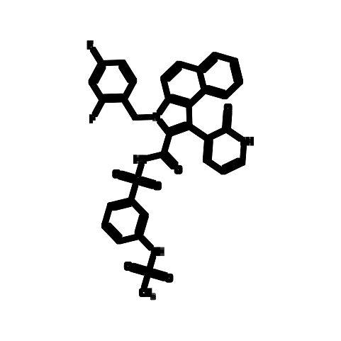 CS(=O)(=O)Nc1cccc(S(=O)(=O)NC(=O)c2c(-c3ccc[nH]c3=O)c3c4ccccc4ccc3n2Cc2ccc(F)cc2F)c1